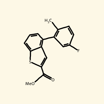 COC(=O)c1cc2c(-c3cc(F)ccc3C)cccc2s1